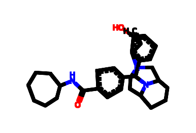 C=CCN1CCC2CCCC(C1)N2C(c1ccc(C(=O)NC2CCCCCC2)cc1)c1cccc(O)c1